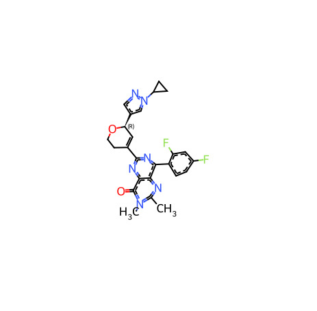 Cc1nc2c(-c3ccc(F)cc3F)nc(C3=C[C@H](c4cnn(C5CC5)c4)OCC3)nc2c(=O)n1C